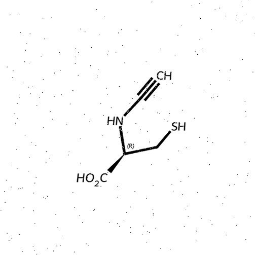 C#CN[C@@H](CS)C(=O)O